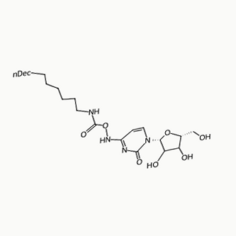 CCCCCCCCCCCCCCCCNC(=O)ONc1ccn([C@@H]2O[C@H](CO)C(O)C2O)c(=O)n1